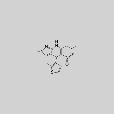 CCCC1=C([N+](=O)[O-])C(c2ccsc2C)c2c[nH]nc2N1